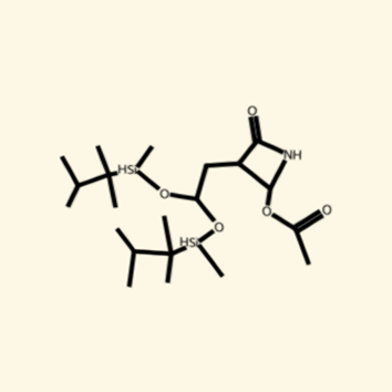 CC(=O)OC1NC(=O)C1CC(O[SiH](C)C(C)(C)C(C)C)O[SiH](C)C(C)(C)C(C)C